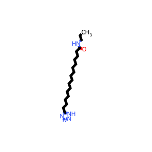 CCCNC(=O)CCCCCCCCCCCCCCCc1nnn[nH]1